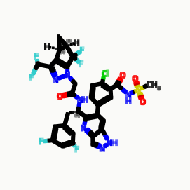 CS(=O)(=O)NC(=O)c1cc(-c2cc3[nH]ncc3nc2[C@H](Cc2cc(F)cc(F)c2)NC(=O)Cn2nc(C(F)F)c3c2C(F)(F)[C@@H]2C[C@H]32)ccc1Cl